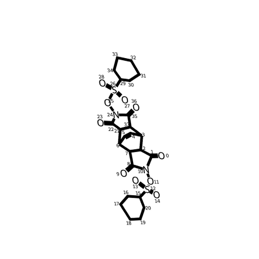 O=C1C2C3C=CC(C2C(=O)N1OS(=O)(=O)C1CCCCC1)C1C(=O)N(OS(=O)(=O)C2CCCCC2)C(=O)C31